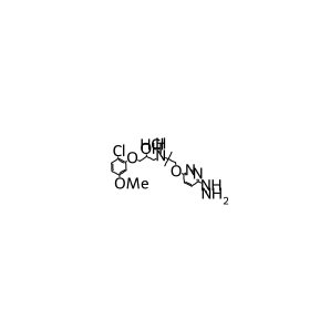 COc1ccc(Cl)c(OCC(O)CNC(C)(C)COc2ccc(NN)nn2)c1.Cl